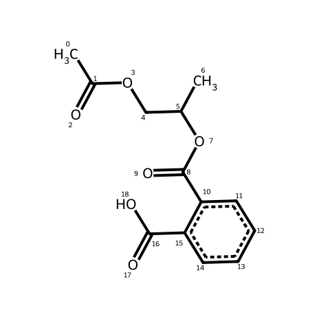 CC(=O)OCC(C)OC(=O)c1ccccc1C(=O)O